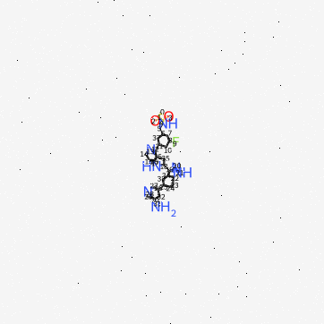 CS(=O)(=O)NCc1cc(F)cc(-c2nccc3[nH]c(-c4n[nH]c5ccc(-c6cncc(N)c6)cc45)cc23)c1